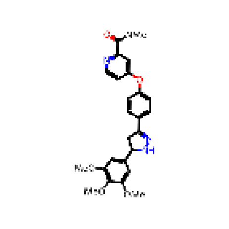 CNC(=O)c1cc(Oc2ccc(C3=NNC(c4cc(OC)c(OC)c(OC)c4)C3)cc2)ccn1